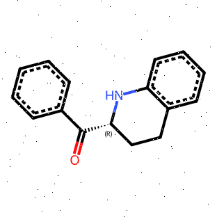 O=C(c1ccccc1)[C@H]1CCc2ccccc2N1